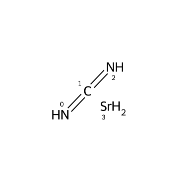 N=C=N.[SrH2]